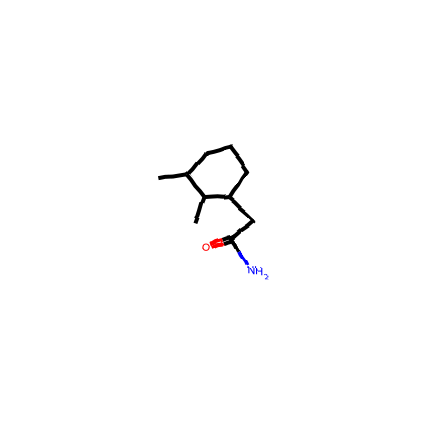 CC1CCCC(CC(N)=O)C1C